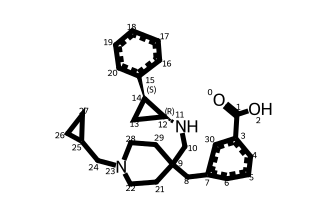 O=C(O)c1cccc(CC2(CN[C@@H]3C[C@H]3c3ccccc3)CCN(CC3CC3)CC2)c1